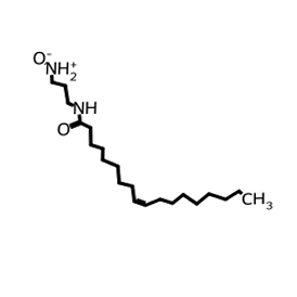 CCCCCCCC/C=C\CCCCCCCC(=O)NCCC[NH2+][O-]